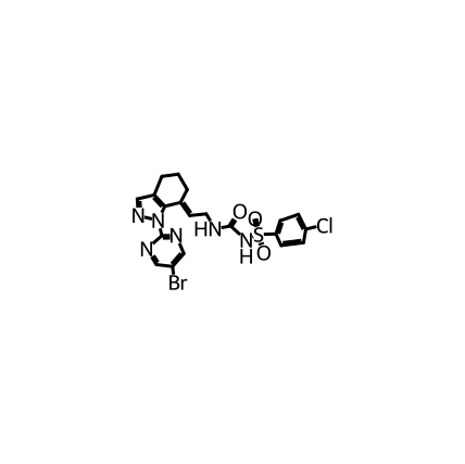 O=C(NC/C=C1\CCCc2cnn(-c3ncc(Br)cn3)c21)NS(=O)(=O)c1ccc(Cl)cc1